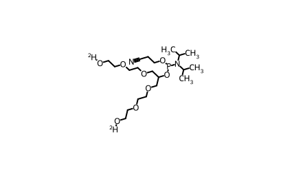 [2H]OCCOCCOCC(COCCOCCO[2H])OP(OCCC#N)N(C(C)C)C(C)C